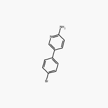 Nc1ccc(-c2ccc(Br)cc2)cn1